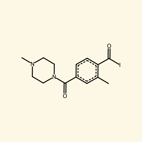 Cc1cc(C(=O)N2CCN(C)CC2)ccc1C(=O)I